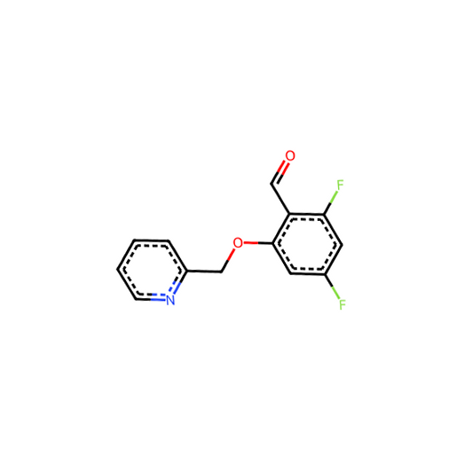 O=Cc1c(F)cc(F)cc1OCc1ccccn1